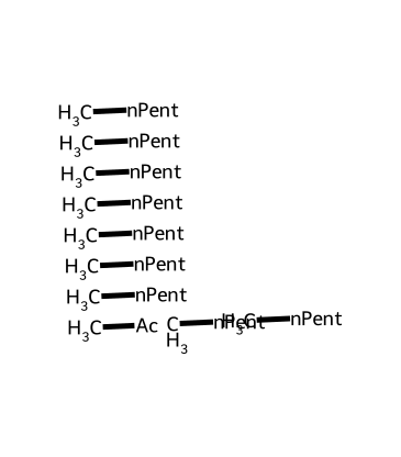 CC(C)=O.CCCCCC.CCCCCC.CCCCCC.CCCCCC.CCCCCC.CCCCCC.CCCCCC.CCCCCC.CCCCCC